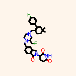 CC1(C)CCC(CN2CCN(Cc3ccc4c(c3)CN(C3CCC(=O)NC3=O)C4=O)C(CF)C2)=C(c2ccc(F)cc2)C1